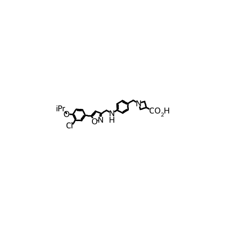 CC(C)Oc1ccc(-c2cc(CNc3ccc(CN4CC(C(=O)O)C4)cc3)no2)cc1Cl